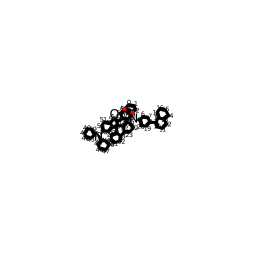 c1ccc(N(c2ccc(-c3cccc4ccccc34)cc2)c2ccc3c(c2)C2(c4ccccc4-3)c3cc(N(c4ccccc4)c4ccccc4)ccc3-c3oc4ccccc4c32)cc1